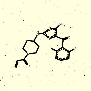 C=CC(=O)N1CCC(Nc2nc(N)c(C(=O)c3c(F)cccc3F)s2)CC1